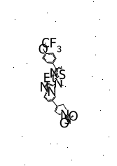 CCc1nc2ccc(C3=CCN(S(C)(=O)=O)CC3)cn2c1N(C)c1nc(-c2ccc(OC(F)(F)F)cc2)cs1